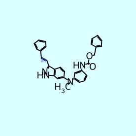 CN(c1cccc(NC(=O)OCc2ccccc2)c1)c1ccc2c(/C=C/c3ccccc3)n[nH]c2c1